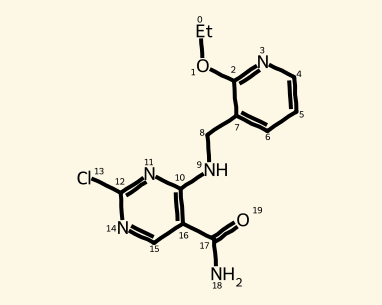 CCOc1ncccc1CNc1nc(Cl)ncc1C(N)=O